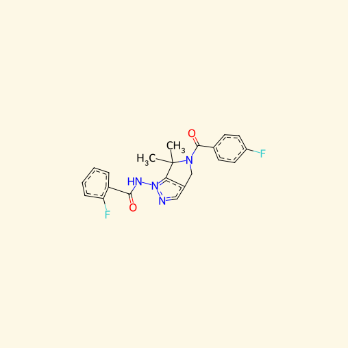 CC1(C)c2c(cnn2NC(=O)c2ccccc2F)CN1C(=O)c1ccc(F)cc1